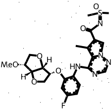 CO[C@@H]1CO[C@H]2[C@@H]1OC[C@H]2Oc1cc(F)ccc1Nc1ncnn2cc(C(=O)N=S(C)(C)=O)c(C)c12